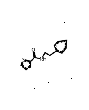 O=C(NCCc1cc[c]cc1)c1cccs1